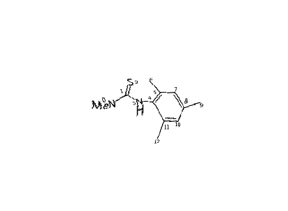 CNC(=S)Nc1c(C)cc(C)cc1C